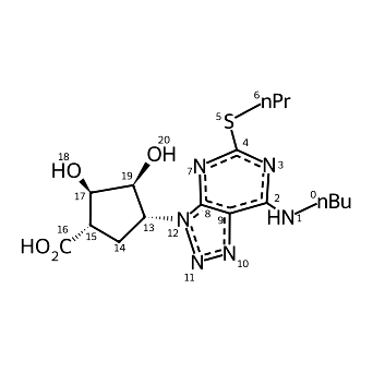 CCCCNc1nc(SCCC)nc2c1nnn2[C@@H]1C[C@H](C(=O)O)[C@@H](O)[C@H]1O